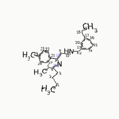 CCCC/C(CC)=N/C(=C\CNCc1cccc(CC)c1)c1ccc(C)cc1